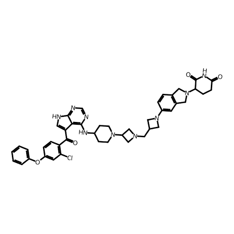 O=C1CCC(N2Cc3ccc(N4CC(CN5CC(N6CCC(Nc7ncnc8[nH]cc(C(=O)c9ccc(Oc%10ccccc%10)cc9Cl)c78)CC6)C5)C4)cc3C2)C(=O)N1